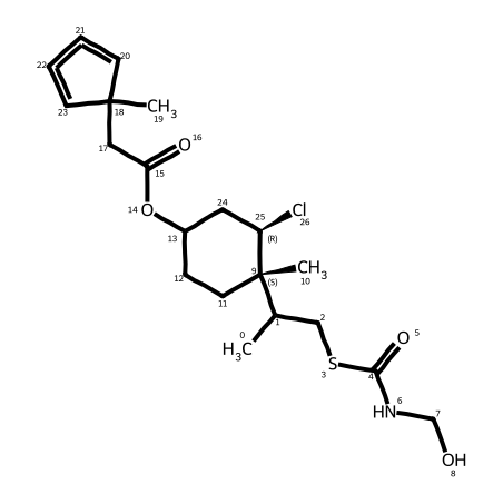 CC(CSC(=O)NCO)[C@]1(C)CCC(OC(=O)CC2(C)C=C=C=C2)C[C@H]1Cl